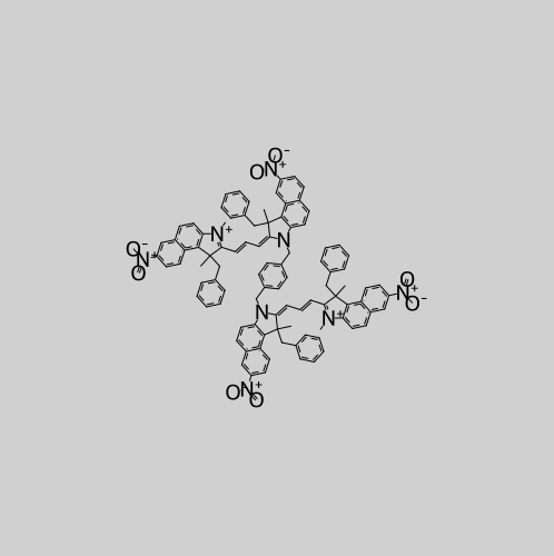 C[N+]1=C(/C=C/C=C2/N(Cc3ccc(CN4/C(=C/C=C/C5=[N+](C)c6ccc7cc([N+](=O)[O-])ccc7c6C5(C)Cc5ccccc5)C(C)(Cc5ccccc5)c5c4ccc4ccc([N+](=O)[O-])cc54)cc3)c3ccc4cc([N+](=O)[O-])ccc4c3C2(C)Cc2ccccc2)C(C)(Cc2ccccc2)c2c1ccc1cc([N+](=O)[O-])ccc21